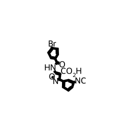 [C-]#[N+]c1cccc(-c2noc(NC(=O)c3ccc(Br)cc3)c2C(=O)O)c1